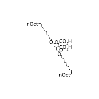 CCCCCCCC/C=C\CCCCCCCCOC(=O)CC(CC(=O)OCCCCCCCC/C=C\CCCCCCCC)C(CC(=O)O)C(=O)O